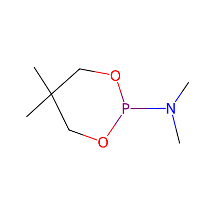 CN(C)P1OCC(C)(C)CO1